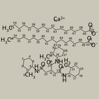 CC1CCCCC1NC(=O)CC(CC(=O)NC1CCCCC1C)C(=O)NC1CCCCC1C.CCCCCCCCCCCCCCCCCC(=O)[O-].CCCCCCCCCCCCCCCCCC(=O)[O-].[Ca+2]